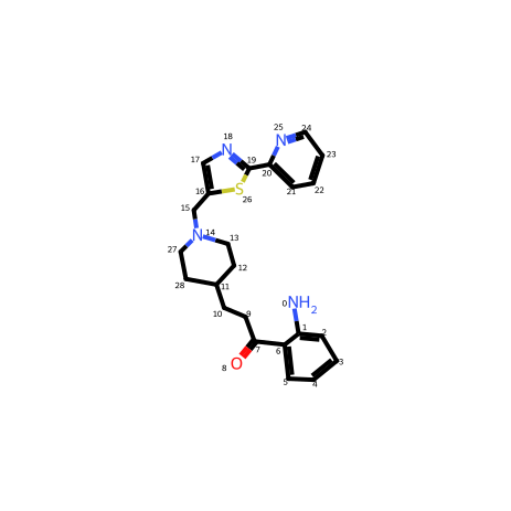 Nc1ccccc1C(=O)CCC1CCN(Cc2cnc(-c3ccccn3)s2)CC1